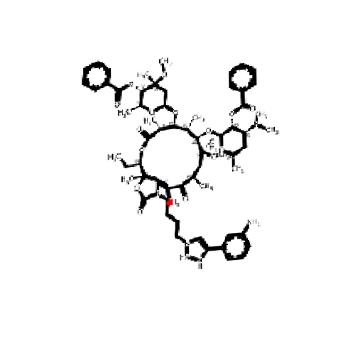 CC[C@H]1OC(=O)[C@H](C)[C@@H](OC2C[C@@](C)(OC)[C@@H](OC(=O)c3ccccc3)[C@H](C)O2)[C@H](C)[C@@H](OC2O[C@H](C)C[C@H](N(C)C)[C@H]2OC(=O)c2ccccc2)[C@@](C)(OC)C[C@@H](C)C(=O)/C(C)=C2\N(CCCCN3C=C(c4cccc(N)c4)NN3)C(=O)O[C@@]21C